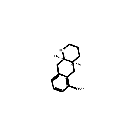 COc1cccc2c1C[C@@H]1CCCN[C@@H]1C2